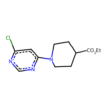 CCOC(=O)C1CCN(c2cc(Cl)ncn2)CC1